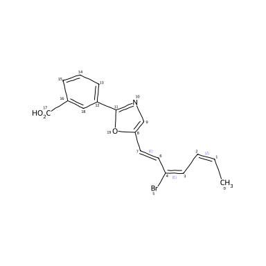 C\C=C/C=C(Br)\C=C\c1cnc(-c2cccc(C(=O)O)c2)o1